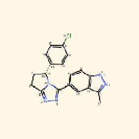 Cc1n[nH]c2ccc(-c3nnc4n3[C@@H](c3ccc(Cl)cc3)CC4)cc12